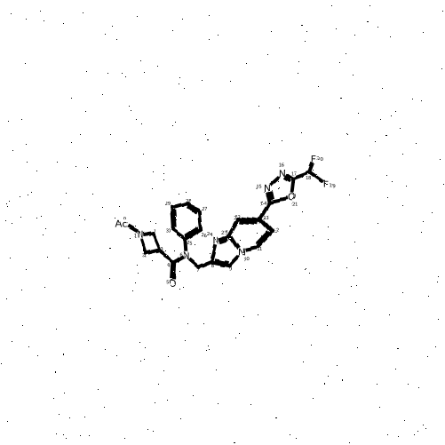 CC(=O)N1CC(C(=O)N(Cc2cn3ccc(-c4nnc(C(F)F)o4)cc3n2)c2ccccc2)C1